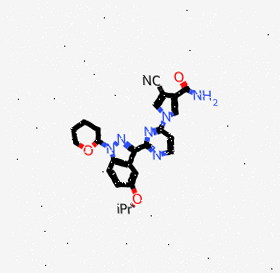 CC(C)Oc1ccc2c(c1)c(-c1nccc(-n3cc(C#N)c(C(N)=O)c3)n1)nn2C1CCCCO1